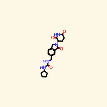 O=C1CCC(N2Cc3ccc(CNC(=O)NC4CCCC4)cc3C2=O)C(=O)N1